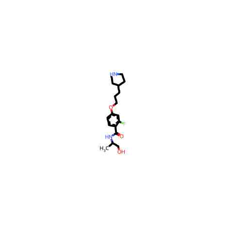 CC(CO)NC(=O)c1ccc(OCCCC2CCNCC2)cc1F